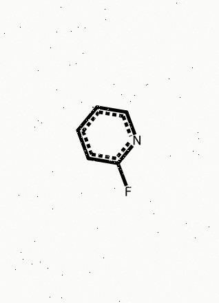 Fc1cc[c]cn1